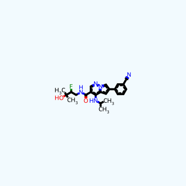 CC(C)Nc1c(C(=O)NCC(F)C(C)(C)O)cnn2cc(-c3cccc(C#N)c3)cc12